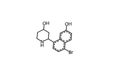 Oc1ccc2c(Br)ccc(C3CC(O)CCN3)c2c1